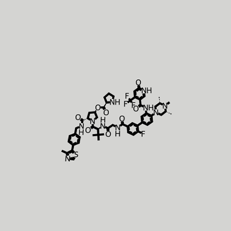 Cc1ncsc1-c1ccc(CNC(=O)[C@@H]2C[C@@H](OC(=O)[C@H]3CCCN3)CN2C(=O)[C@@H](NC(=O)CNC(=O)c2ccc(F)c(-c3ccc(N4C[C@@H](C)N(C)[C@@H](C)C4)c(NC(=O)c4c[nH]c(=O)cc4C(F)(F)F)c3)c2)C(C)(C)C)cc1